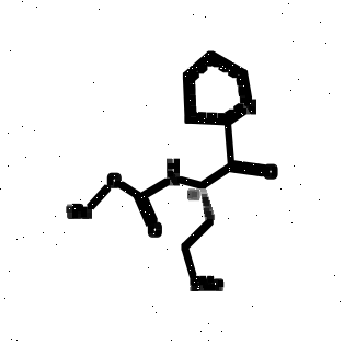 CSCC[C@H](NC(=O)OC(C)(C)C)C(=O)c1ccccn1